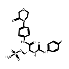 NS(=O)(=O)OC[C@@H](NC(=O)Nc1ccc(Cl)cc1)C(=O)Nc1ccc(N2CCOCC2=O)cc1